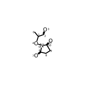 CC(C=O)ON1C(=O)CCC1=O